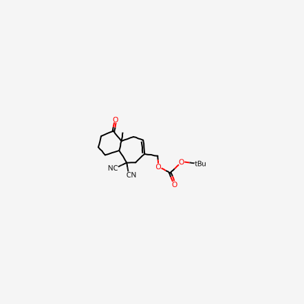 CC(C)(C)OC(=O)OCC1=CCC2(C)C(=O)CCCC2C(C#N)(C#N)C1